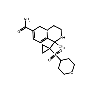 CC1(C2(S(=O)(=O)C3CCOCC3)CC2)NCCN2CC(C(N)=O)=CC=C21